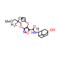 COCC(C)(C)COc1noc(C(=O)N[C@H]2C3CC4CC2C[C@](O)(C4)C3)c1SC1CCC1